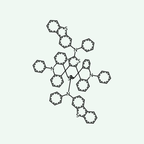 c1ccc(N(c2ccc3c(c2)sc2ccccc23)c2cc3c(s2)C2(c4ccccc4N(c4ccccc4)c4ccccc42)c2cc(N(c4ccccc4)c4ccc5c(c4)sc4ccccc45)sc2C32c3ccccc3N(c3ccccc3)c3ccccc32)cc1